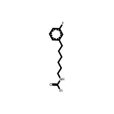 CCC(=O)NCCCCCCc1cccc(F)c1